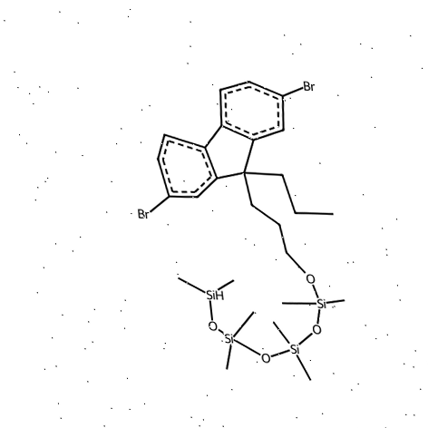 CCCC1(CCCO[Si](C)(C)O[Si](C)(C)O[Si](C)(C)O[SiH](C)C)c2cc(Br)ccc2-c2ccc(Br)cc21